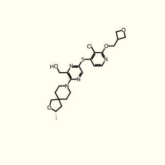 C[C@H]1CC2(CCN(c3ncc(Sc4ccnc(OCC5COC5)c4Cl)nc3CO)CC2)CO1